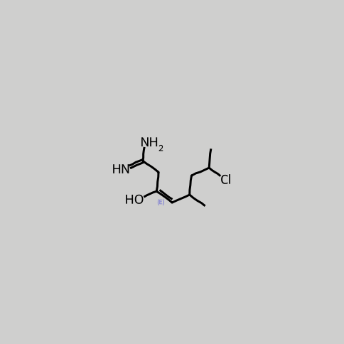 CC(Cl)CC(C)/C=C(/O)CC(=N)N